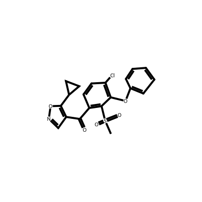 CS(=O)(=O)c1c(C(=O)c2cnoc2C2CC2)ccc(Cl)c1Oc1ccccc1